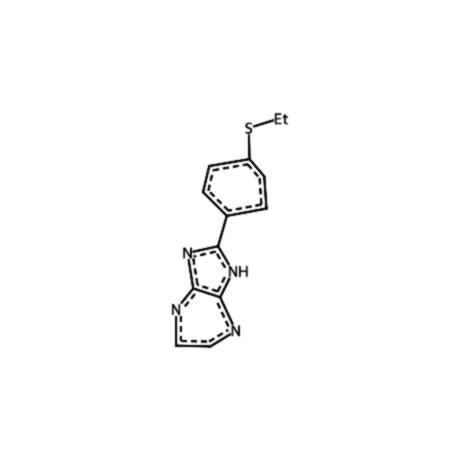 CCSc1ccc(-c2nc3nccnc3[nH]2)cc1